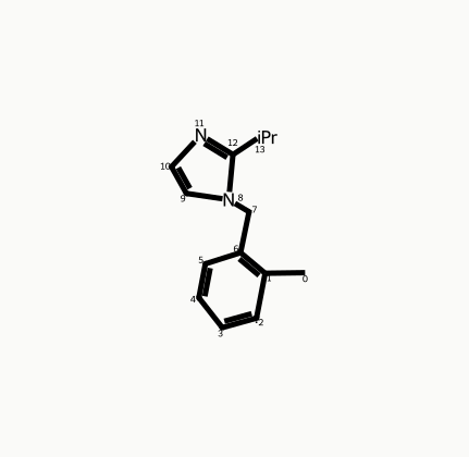 Cc1[c]cccc1Cn1ccnc1C(C)C